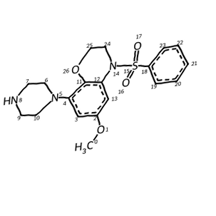 COc1cc(N2CCNCC2)c2c(c1)N(S(=O)(=O)c1ccccc1)CCO2